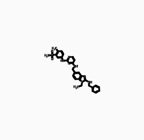 CCn1c(NCc2ccccc2)nc2cc(CNc3ccnc(Nc4ccc(C)c(S(N)(=O)=O)c4)n3)ccc21